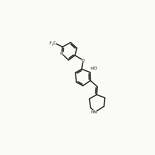 Cl.FC(F)(F)c1ccc(Oc2cccc(C=C3CCNCC3)c2)cn1